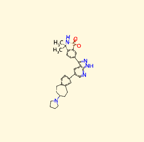 CC1(C)NS(=O)(=O)c2cc(-c3n[nH]c4ncc(-c5ccc6c(c5)CCC(N5CCCC5)CC6)cc34)ccc21